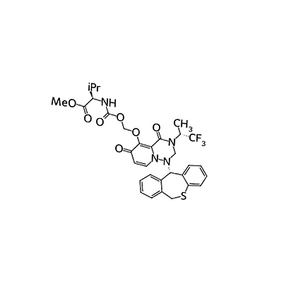 COC(=O)[C@H](NC(=O)OCOc1c2n(ccc1=O)N([C@H]1c3ccccc3CSc3ccccc31)CN([C@H](C)C(F)(F)F)C2=O)C(C)C